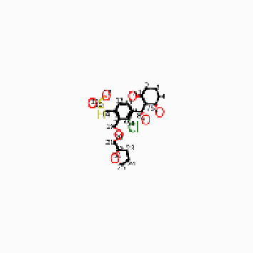 O=C1CCCC(=O)C1C(=O)c1ccc(C[SH](=O)=O)c(COCC2CCCO2)c1Cl